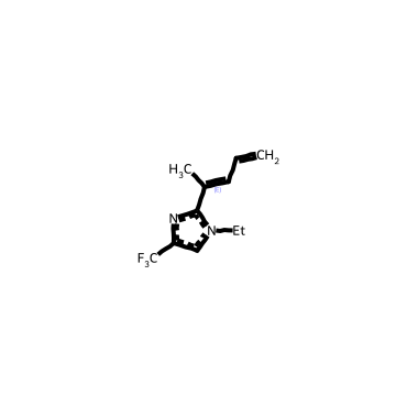 C=C/C=C(\C)c1nc(C(F)(F)F)cn1CC